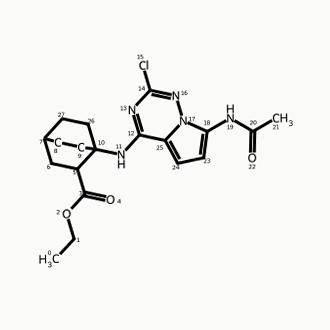 CCOC(=O)C1CC2CCC1(Nc1nc(Cl)nn3c(NC(C)=O)ccc13)CC2